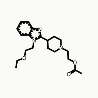 CCOCCn1c(C2CCN(CCOC(C)=O)CC2)nc2ccccc21